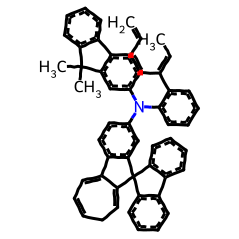 C=C/C=C\C(=C/C)c1ccccc1N(c1ccc2c(c1)C(C)(C)c1ccccc1-2)c1ccc2c(c1)C1(C3=CCC=CC=C32)c2ccccc2-c2ccccc21